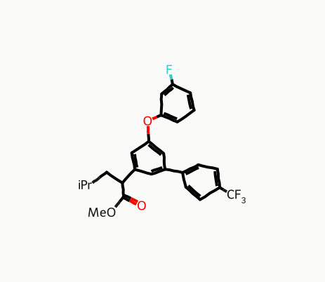 COC(=O)C(CC(C)C)c1cc(Oc2cccc(F)c2)cc(-c2ccc(C(F)(F)F)cc2)c1